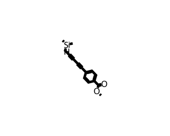 COC(=O)c1ccc(C#CC#CC[SiH](C)C)cc1